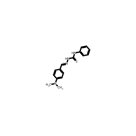 CN(C)c1ccc(/C=N/NC(=S)Nc2ccccc2)cc1